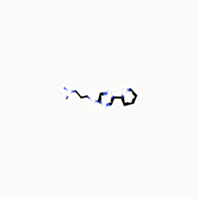 CN(C)CCCNc1cnc(-c2ccccn2)cn1